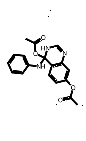 CC(=O)Oc1ccc2c(c1)N=CNC2(Nc1ccccc1)OC(C)=O